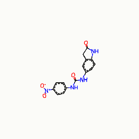 O=C1Cc2cc(NC(=O)Nc3ccc([N+](=O)[O-])cc3)ccc2N1